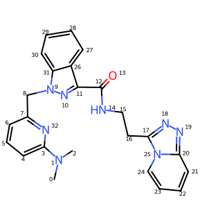 CN(C)c1cccc(Cn2nc(C(=O)NCCc3nnc4ccccn34)c3ccccc32)n1